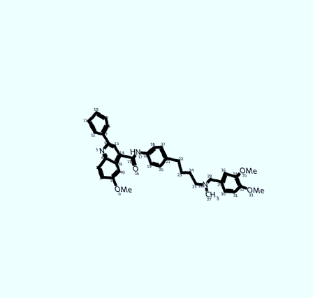 COc1ccc2nc(-c3ccccc3)cc(C(=O)Nc3ccc(CCCCN(C)Cc4ccc(OC)c(OC)c4)cc3)c2c1